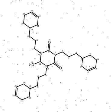 O=C1N(CCCC2CC=CCC2)C(=O)N(CCCC2CC=CCC2)C(O)N1CCCC1CC=CCC1